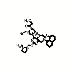 C=CC(=O)N1CCN(c2nc(OC[C@@H]3CCCN3C)nc3c2N(C)CCN(c2cccc4cccc(C)c24)C3)C[C@@H]1CC#N